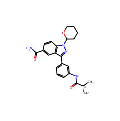 CC(=O)O[C@@H](C)C(=O)Nc1cccc(-c2nn(C3CCCCO3)c3ccc(C(N)=O)cc23)c1